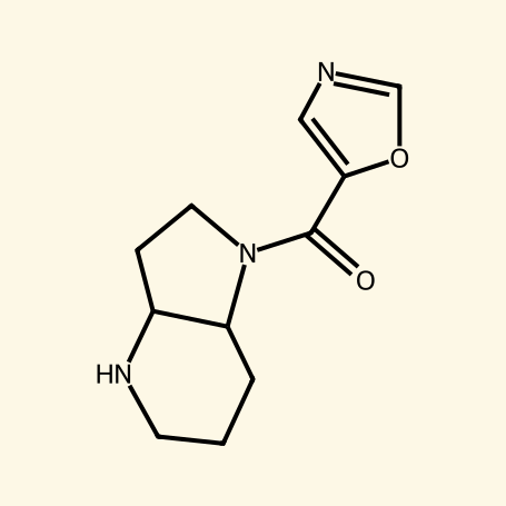 O=C(c1cnco1)N1CCC2NCCCC21